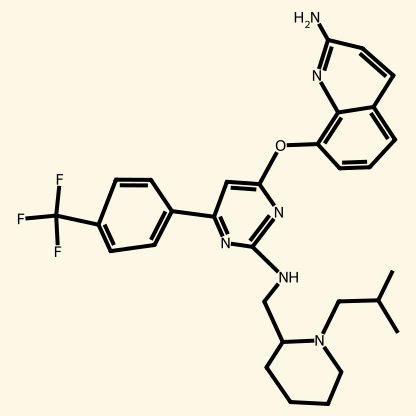 CC(C)CN1CCCCC1CNc1nc(Oc2cccc3ccc(N)nc23)cc(-c2ccc(C(F)(F)F)cc2)n1